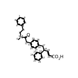 CN(CCc1ccccc1)C(=O)Cc1ccc(CC(C=CC(=O)O)c2ccccc2)cc1